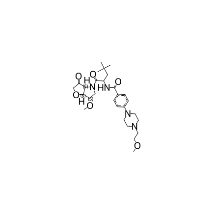 COCCN1CCN(c2ccc(C(=O)NC(CC(C)(C)C)C(=O)N3C[C@H](OC)[C@H]4OCC(=O)[C@H]43)cc2)CC1